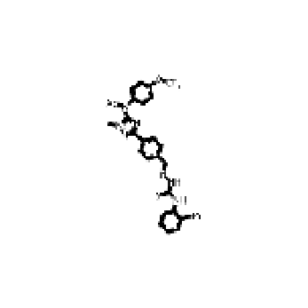 CC(=O)N(c1ccc(OC(F)(F)F)cc1)c1nc(-c2ccc(C=NNC(=S)Nc3ccccc3C(C)C)cc2)nn1C